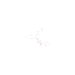 CC1C(N(C)S(=O)(=O)c2ccc(F)cc2)CN1C(c1ccc(Cl)cc1)c1ccc(Cl)cc1